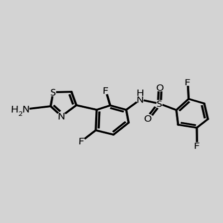 Nc1nc(-c2c(F)ccc(NS(=O)(=O)c3cc(F)ccc3F)c2F)cs1